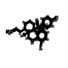 C=CC[C@H]1OCC[C@]2(S(=O)(=O)c3ccc(Cl)cc3)c3c(F)ccc(F)c3OC[C@H]12